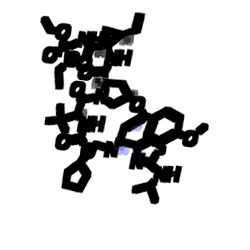 C=C[C@@H]1C[C@]1(NC(=O)[C@@H]1C[C@@H](O/C(=C/C(=N\CC)c2csc(NC(C)C)n2)c2ccc(OC)cc2)CN1C(=O)[C@@H](NC(=O)OC1CCCC1)C(C)(C)C)C(=O)NP(=O)(OCC)OCC